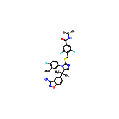 CCC[C@@H](CC)NC(=O)c1cc(F)c(CSc2ncc(C(C)(C)C3=CC4C(N)=NOC4C=C3)n2-c2ccc(F)c(OC)c2)c(F)c1